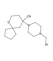 CC(C)CN1CCN(C2(C#N)CCOC3(CCCC3)C2)CC1